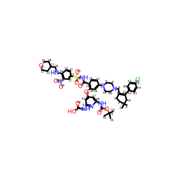 CC1(C)CCC(CN2CCN(c3ccc(C(=O)NS(=O)(=O)c4ccc(NCC5CCOCC5)c([N+](=O)[O-])c4)c(Oc4cc(NC(=O)O)nc(NC(=O)OC(C)(C)C)c4)c3)CC2)=C(c2ccc(Cl)cc2)C1